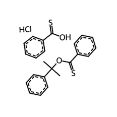 CC(C)(OC(=S)c1ccccc1)c1ccccc1.Cl.OC(=S)c1ccccc1